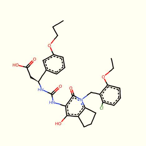 CCCOc1cccc([C@H](CC(=O)O)NC(=O)Nc2c(O)c3c(n(Cc4c(Cl)cccc4OCC)c2=O)CCC3)c1